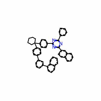 c1ccc(-c2nc(-c3ccc(C4(c5ccc(-c6cccc(-c7cccc8ccccc78)c6)cc5)CCCCC4)cc3)nc(-c3ccc4ccccc4c3)n2)cc1